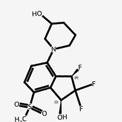 CS(=O)(=O)c1ccc(N2CCCC(O)C2)c2c1[C@H](O)C(F)(F)[C@@H]2F